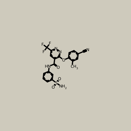 Cc1cc(C#N)ccc1Oc1nnc(C(F)(F)F)cc1C(=O)Nc1cccc(S(N)(=O)=O)c1